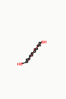 CC1(C)c2cc(CO)ccc2-c2ccc(-c3ccc4c(c3)C(C)(C)c3cc(-c5ccc6c(c5)C(C)(C)c5cc(-c7ccc8c(c7)C(C)(C)c7cc(CCCCO)ccc7-8)ccc5-6)ccc3-4)cc21